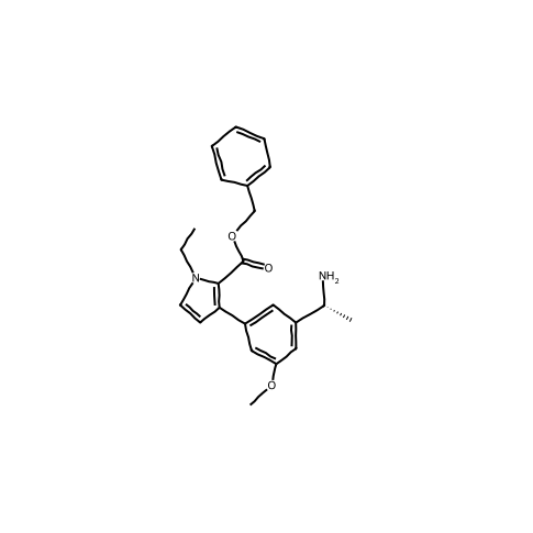 CCn1ccc(-c2cc(OC)cc([C@@H](C)N)c2)c1C(=O)OCc1ccccc1